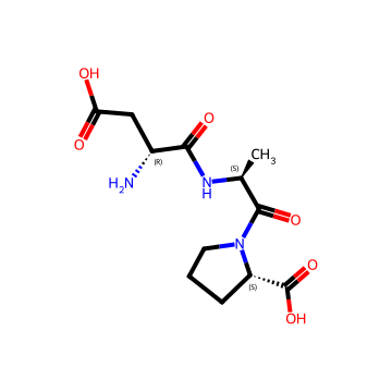 C[C@H](NC(=O)[C@H](N)CC(=O)O)C(=O)N1CCC[C@H]1C(=O)O